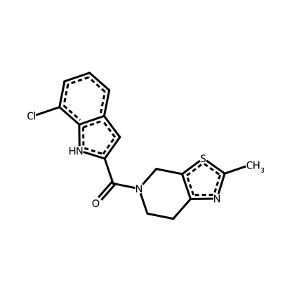 Cc1nc2c(s1)CN(C(=O)c1cc3cccc(Cl)c3[nH]1)CC2